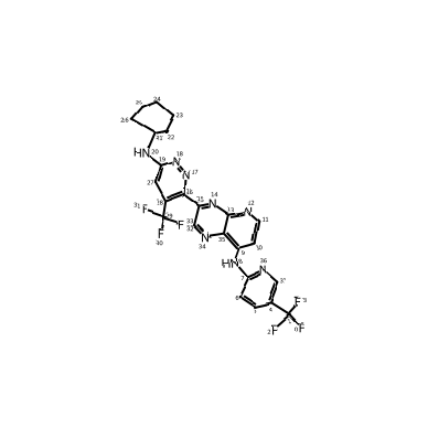 FC(F)(F)c1ccc(Nc2ccnc3nc(-c4nnc(NC5CCCCC5)cc4C(F)(F)F)cnc23)nc1